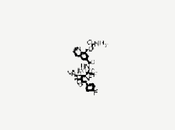 CNC(=O)[C@@]1(C)COc2c1cc([C@@](O)(CNC(=O)c1cc(COC(N)=O)c3ncccc3c1)C(F)(F)F)nc2-c1ccc(F)cc1